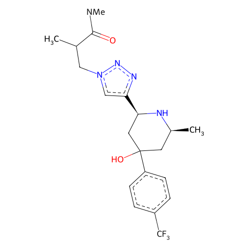 CNC(=O)C(C)Cn1cc([C@@H]2CC(O)(c3ccc(C(F)(F)F)cc3)C[C@H](C)N2)nn1